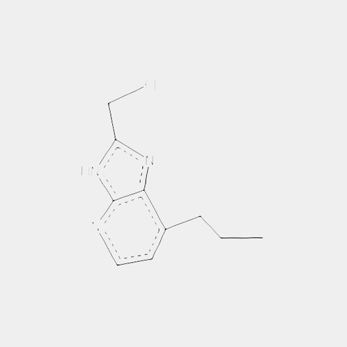 CCCc1ccnc2[nH]c(CCl)nc12